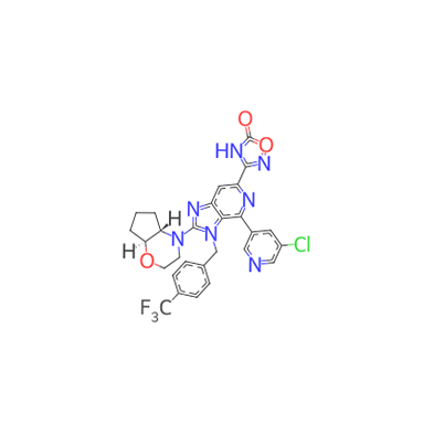 O=c1[nH]c(-c2cc3nc(N4CCO[C@H]5CCC[C@@H]54)n(Cc4ccc(C(F)(F)F)cc4)c3c(-c3cncc(Cl)c3)n2)no1